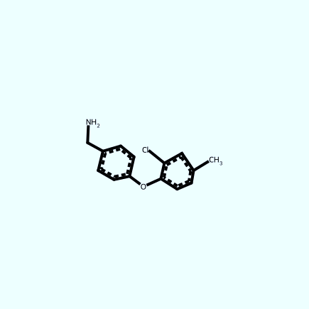 Cc1ccc(Oc2ccc(CN)cc2)c(Cl)c1